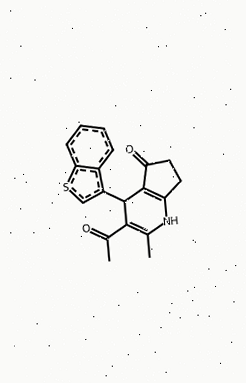 CC(=O)C1=C(C)NC2=C(C(=O)CC2)C1c1csc2ccccc12